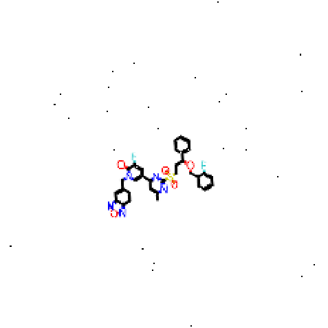 Cc1cc(-c2cc(F)c(=O)n(Cc3ccc4nonc4c3)c2)nc(S(=O)(=O)CCC(OCc2ccccc2F)c2ccccc2)n1